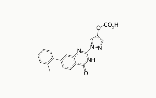 Cc1ccccc1-c1ccc2c(=O)[nH]c(-n3cc(OC(=O)O)cn3)nc2c1